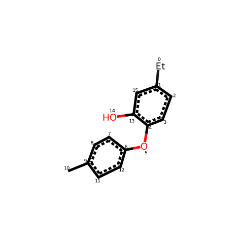 CCc1ccc(Oc2ccc(C)cc2)c(O)c1